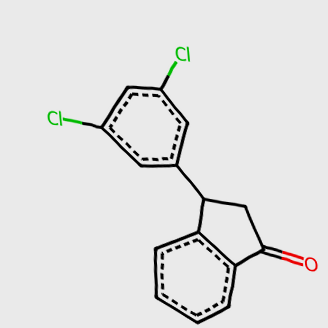 O=C1CC(c2cc(Cl)cc(Cl)c2)c2ccccc21